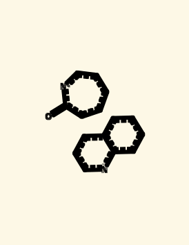 O=c1cccccn1.c1ccc2ncccc2c1